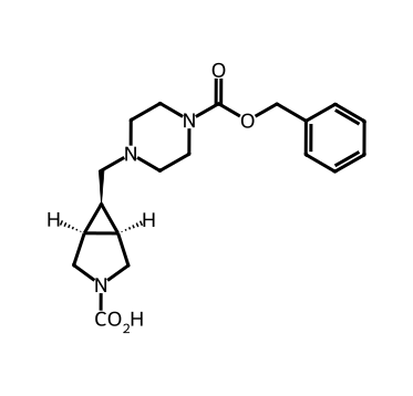 O=C(O)N1C[C@@H]2[C@H](CN3CCN(C(=O)OCc4ccccc4)CC3)[C@@H]2C1